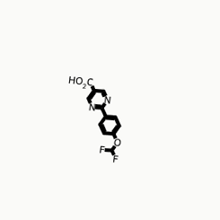 O=C(O)c1cnc(-c2ccc(OC(F)F)cc2)nc1